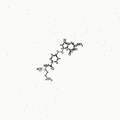 CCC[C@H](C)NC(=O)c1ccc(CCc2c[nH]c3nc(N)[nH]c(=O)c23)cc1